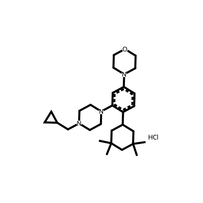 CC1(C)CC(c2ccc(N3CCOCC3)cc2N2CCN(CC3CC3)CC2)CC(C)(C)C1.Cl